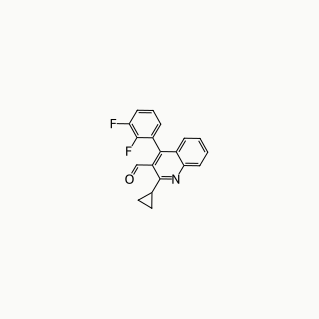 O=Cc1c(C2CC2)nc2ccccc2c1-c1cccc(F)c1F